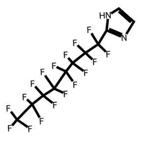 FC(F)(F)C(F)(F)C(F)(F)C(F)(F)C(F)(F)C(F)(F)C(F)(F)C(F)(F)c1ncc[nH]1